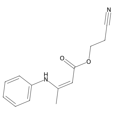 C/C(=C/C(=O)OCCC#N)Nc1ccccc1